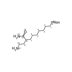 CCCCCCCCCCCCCCCCC(CCN)C(N)=O